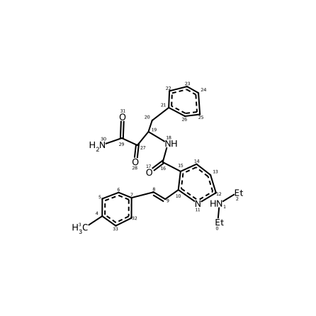 CCNCC.Cc1ccc(C=Cc2ncccc2C(=O)NC(Cc2ccccc2)C(=O)C(N)=O)cc1